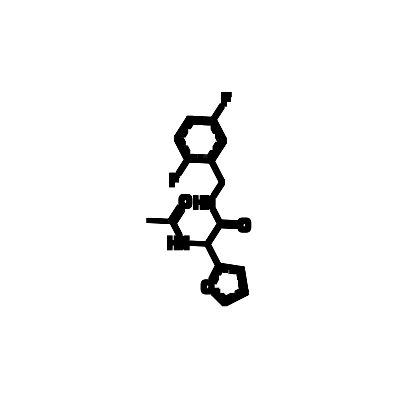 CC(=O)NC(C(=O)NCc1cc(F)ccc1F)c1ccco1